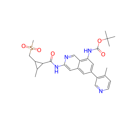 Cc1ccncc1-c1cc(NC(=O)OC(C)(C)C)c2cnc(NC(=O)C3C(C)C3CS(C)(=O)=O)cc2c1